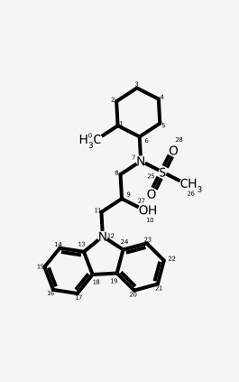 CC1CCCCC1N(CC(O)Cn1c2ccccc2c2ccccc21)S(C)(=O)=O